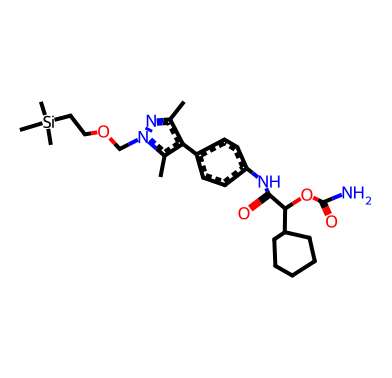 Cc1nn(COCC[Si](C)(C)C)c(C)c1-c1ccc(NC(=O)C(OC(N)=O)C2CCCCC2)cc1